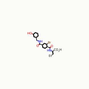 CC/C=C(\NC(=O)c1ccc(C(=O)NCc2cccc(O)c2)cc1Br)C(=O)O